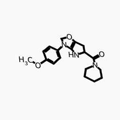 COc1ccc(N2COC3=C2NC(C(=O)N2CCCCC2)C3)cc1